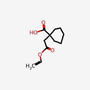 C=COC(=O)CC1(C(=O)O)CCCCC1